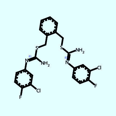 N/C(=N\c1ccc(F)c(Cl)c1)SCc1ccccc1CS/C(N)=N/c1ccc(F)c(Cl)c1